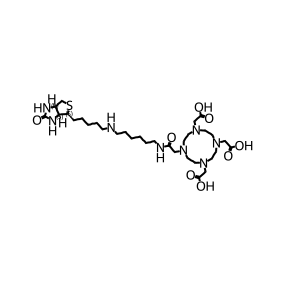 O=C(O)CN1CCN(CC(=O)O)CCN(CC(=O)NCCCCCCNCCCCC[C@@H]2SC[C@@H]3NC(=O)N[C@@H]32)CCN(CC(=O)O)CC1